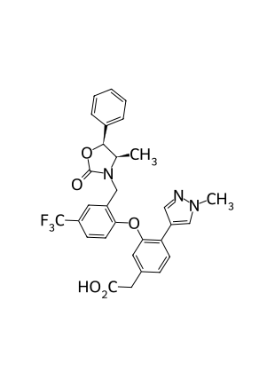 C[C@@H]1[C@H](c2ccccc2)OC(=O)N1Cc1cc(C(F)(F)F)ccc1Oc1cc(CC(=O)O)ccc1-c1cnn(C)c1